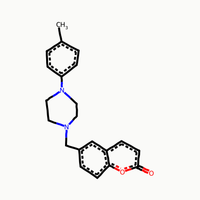 Cc1ccc(N2CCN(Cc3ccc4oc(=O)ccc4c3)CC2)cc1